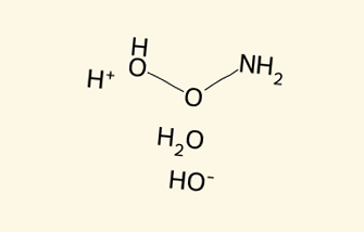 NOO.O.[H+].[OH-]